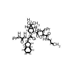 C=CCNC(=O)C(=O)C(CCC)NC(=O)[C@@H]1[C@@H]2[C@H](CN1C(=O)[C@@H](NC(=O)NC(C)C)C1Cc3ccccc3C1)C2(C)C